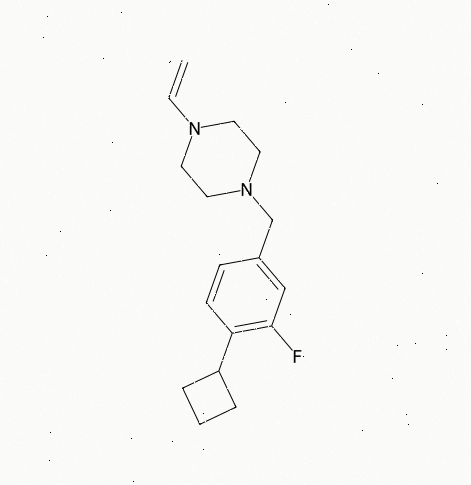 C=CN1CCN(Cc2ccc(C3CCC3)c(F)c2)CC1